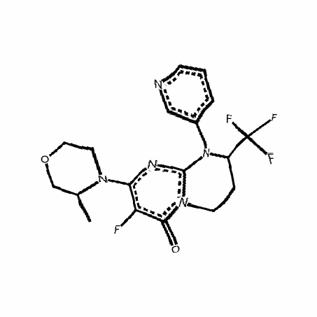 CC1COCCN1c1nc2n(c(=O)c1F)CCC(C(F)(F)F)N2c1cccnc1